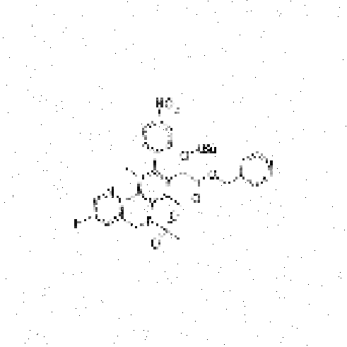 Cc1c(-c2ccc([N+](=O)[O-])cc2)c([C@H](OC(C)(C)C)C(=O)OCc2ccccc2)c(C)c2c1-c1ncc(F)cc1CN2S(C)(=O)=O